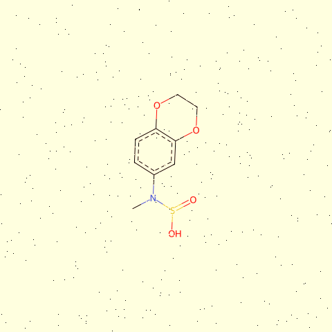 CN(c1ccc2c(c1)OCCO2)S(=O)O